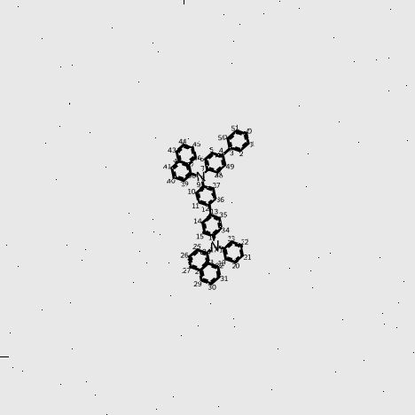 c1ccc(-c2ccc(N(c3ccc(-c4ccc(N(c5ccccc5)c5cccc6ccccc56)cc4)cc3)c3cccc4ccccc34)cc2)cc1